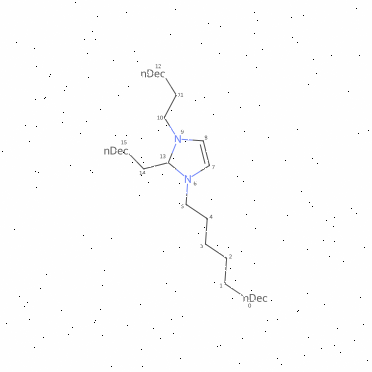 CCCCCCCCCCCCCCCN1C=CN(CCCCCCCCCCCC)C1CCCCCCCCCCC